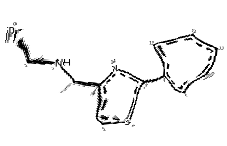 CC(C)CNCc1csc(-c2ccccc2)n1